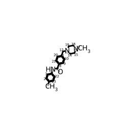 Cc1ccc(NC(=O)c2ccc(CN3CCN(C)CC3)cc2)cc1